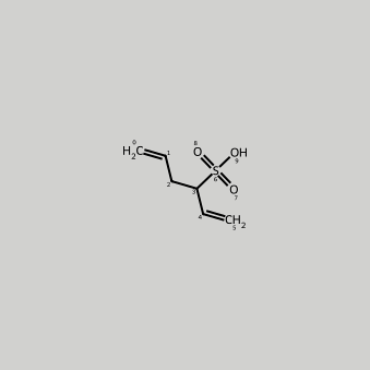 C=CCC(C=C)S(=O)(=O)O